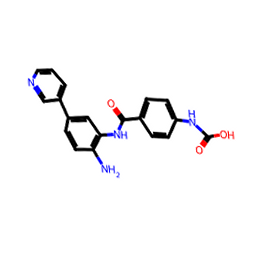 Nc1ccc(-c2cccnc2)cc1NC(=O)c1ccc(NC(=O)O)cc1